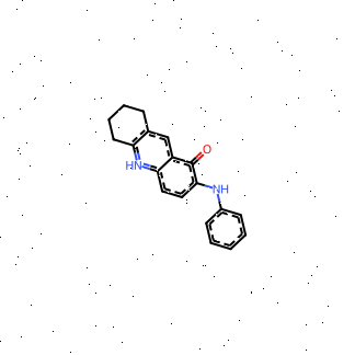 O=c1c(Nc2ccccc2)ccc2[nH]c3c(cc1-2)CCCC3